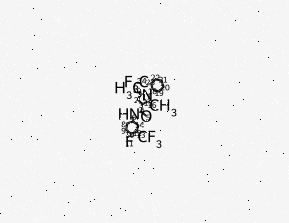 Cc1cc(C(=O)Nc2ccc(F)c(C(F)(F)F)c2)c(C)n1-c1ccccc1C(F)(F)F